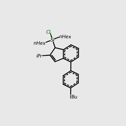 CCCCCC[Si](Cl)(CCCCCC)C1C(C(C)C)=Cc2c(-c3ccc(C(C)(C)C)cc3)cccc21